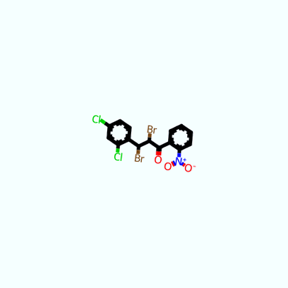 O=C(c1ccccc1[N+](=O)[O-])C(Br)C(Br)c1ccc(Cl)cc1Cl